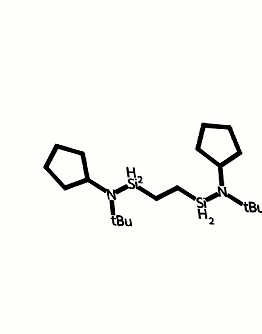 CC(C)(C)N([SiH2]CC[SiH2]N(C1CCCC1)C(C)(C)C)C1CCCC1